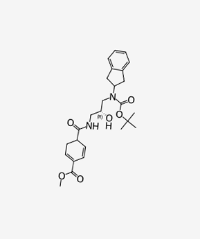 COC(=O)C1=CCC(C(=O)NC[C@@H](O)CN(C(=O)OC(C)(C)C)C2Cc3ccccc3C2)C=C1